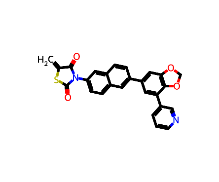 C=C1SC(=O)N(c2ccc3cc(-c4cc5c(c(-c6cccnc6)c4)OCO5)ccc3c2)C1=O